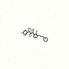 Cc1ccc(NC(=O)Nc2cccc(CCCN3CCCCC3)c2F)cn1